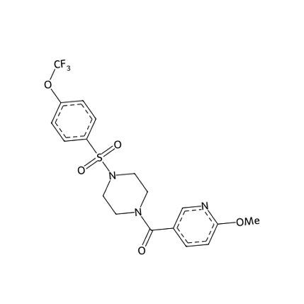 COc1ccc(C(=O)N2CCN(S(=O)(=O)c3ccc(OC(F)(F)F)cc3)CC2)cn1